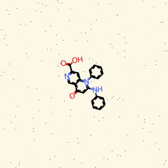 O=C(O)c1cc2c(cn1)c(=O)cc(Nc1ccccc1)n2-c1ccccc1